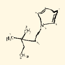 CC(C)(C)Cn1[c]ccc1